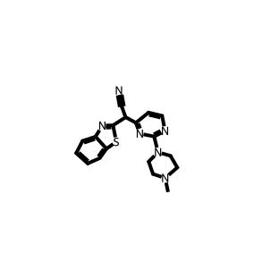 CN1CCN(c2nccc(C(C#N)c3nc4ccccc4s3)n2)CC1